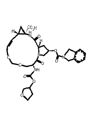 O=C(N[C@H]1CCCCC/C=C\[C@@H]2C[C@@]2(C(=O)O)NC(=O)[C@@H]2C[C@@H](OC(=O)N3Cc4ccccc4C3)CN2C1=O)OC1CCOC1